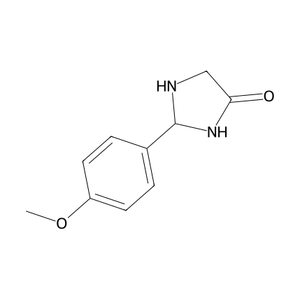 COc1ccc(C2NCC(=O)N2)cc1